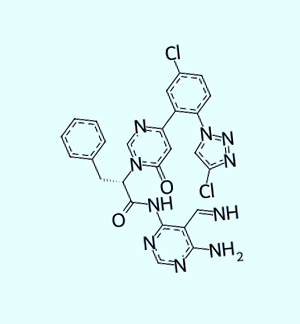 N=Cc1c(N)ncnc1NC(=O)[C@H](Cc1ccccc1)n1cnc(-c2cc(Cl)ccc2-n2cc(Cl)nn2)cc1=O